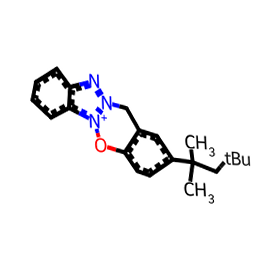 CC(C)(C)CC(C)(C)c1ccc2c(c1)Cn1nc3ccccc3[n+]1O2